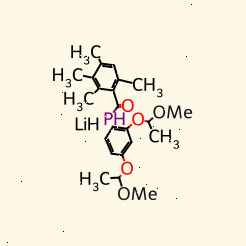 COC(C)Oc1ccc(PC(=O)c2c(C)cc(C)c(C)c2C)c(OC(C)OC)c1.[LiH]